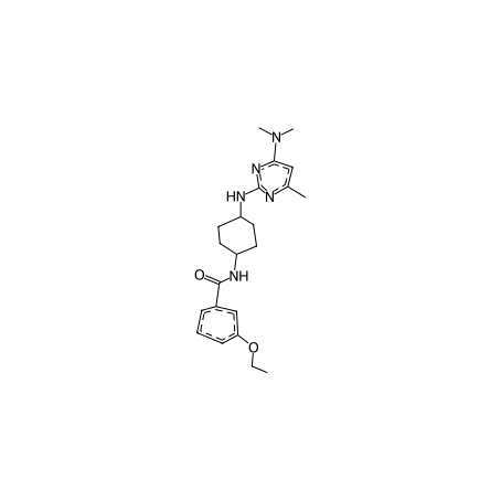 CCOc1cccc(C(=O)NC2CCC(Nc3nc(C)cc(N(C)C)n3)CC2)c1